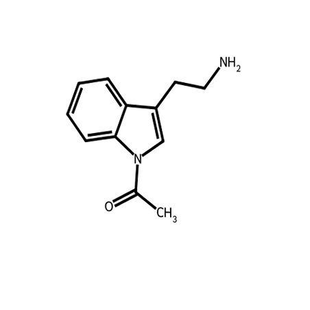 CC(=O)n1cc(CCN)c2ccccc21